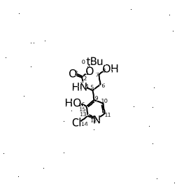 CC(C)(C)OC(=O)NC(CCO)c1ccnc(Cl)c1O